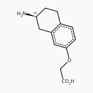 N[C@H]1CCc2ccc(OCC(=O)O)cc2C1